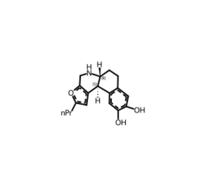 CCCc1cc2c(o1)CN[C@@H]1CCc3cc(O)c(O)cc3[C@@H]21